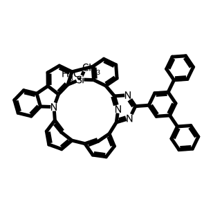 C[Si]1(C)c2c3cccc2-c2ccc4c5ccccc5n(c4c21)-c1cccc(c1)-c1cccc(c1)-c1nc(-c2cc(-c4ccccc4)cc(-c4ccccc4)c2)nc-3n1